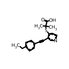 CCc1ccc(C#Cc2cnccc2SC(C)(C)C(=O)O)cc1